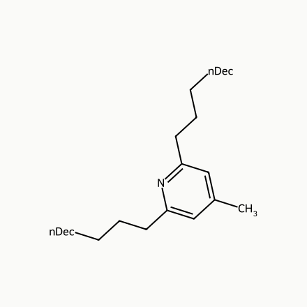 CCCCCCCCCCCCCc1cc(C)cc(CCCCCCCCCCCCC)n1